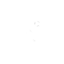 CN(CCC1CCN1)C1Cc2ccccc2C1